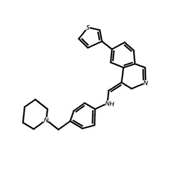 C1=NCC(=CNc2ccc(CN3CCCCC3)cc2)c2cc(-c3ccsc3)ccc21